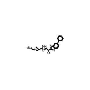 CC(C)(C)CN1CC(c2nnc(C(=O)c3nc4ccc(-c5ccccc5)cc4s3)o2)C1